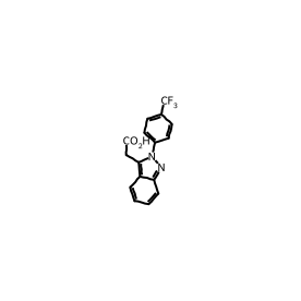 O=C(O)Cc1c2ccccc2nn1-c1ccc(C(F)(F)F)cc1